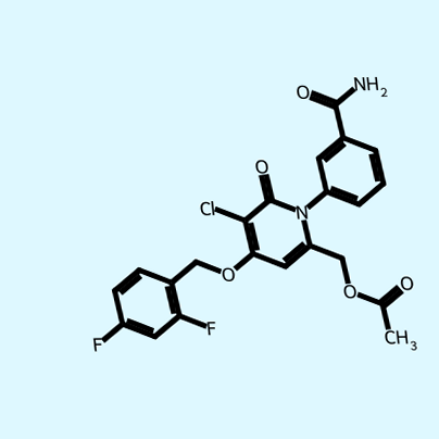 CC(=O)OCc1cc(OCc2ccc(F)cc2F)c(Cl)c(=O)n1-c1cccc(C(N)=O)c1